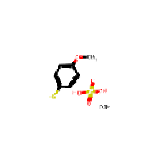 COc1ccc(S)cc1.O=S(=O)(O)O.[NaH]